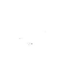 C=CCC(CO)C(c1ccccc1)c1ccccc1OC